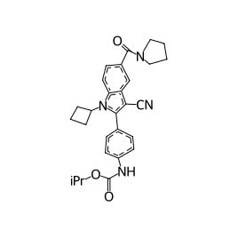 CC(C)OC(=O)Nc1ccc(-c2c(C#N)c3cc(C(=O)N4CCCC4)ccc3n2C2CCC2)cc1